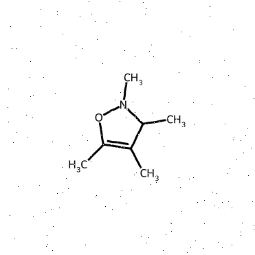 CC1=C(C)C(C)N(C)O1